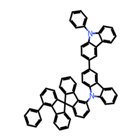 c1ccc(-c2cccc3c2-c2ccccc2C32c3ccccc3-c3c(-n4c5ccccc5c5cc(-c6ccc7c(c6)c6ccccc6n7-c6ccccc6)ccc54)cccc32)cc1